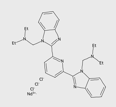 CCN(CC)Cn1c(-c2cccc(-c3nc4ccccc4n3CN(CC)CC)n2)nc2ccccc21.[Cl-].[Cl-].[Cl-].[Nd+3]